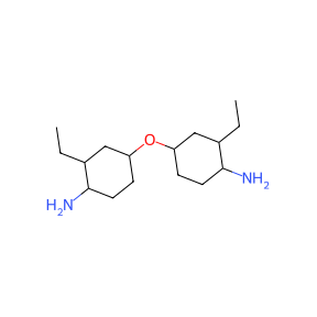 CCC1CC(OC2CCC(N)C(CC)C2)CCC1N